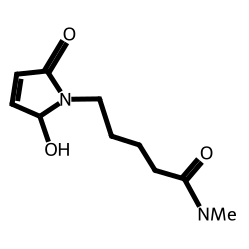 CNC(=O)CCCCN1C(=O)C=CC1O